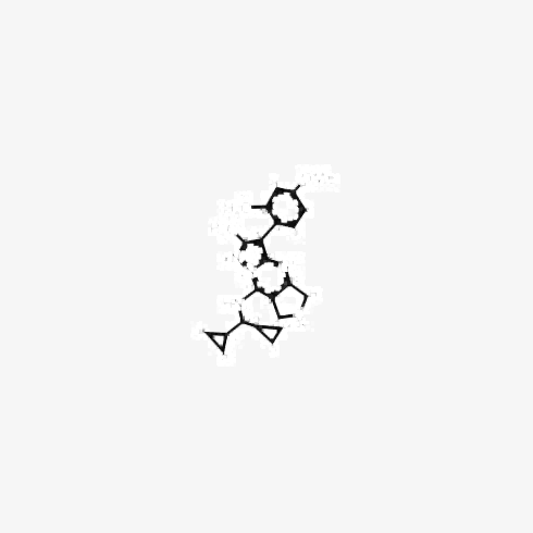 COc1ccc(-c2c(C)nn3c(NC(C4CC4)C4CC4)c4c(nc23)COC4)c(C)c1